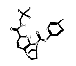 O=C(NCC(F)(F)F)C1C=CC2=C(N1)N(C(=O)Nc1ccc(F)cn1)C1CCN2C1